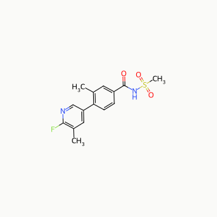 Cc1cc(C(=O)NS(C)(=O)=O)ccc1-c1cnc(F)c(C)c1